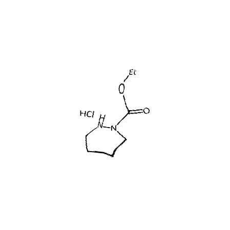 CCOC(=O)N1CCCCN1.Cl